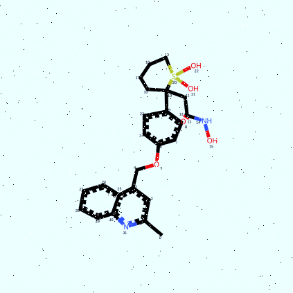 Cc1cc(COc2ccc(C3(CC(=O)NO)CCCCS3(O)O)cc2)c2ccccc2n1